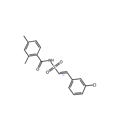 Cc1ccc(C(=O)NS(=O)(=O)/C=C/c2cccc(Cl)c2)c(C)c1